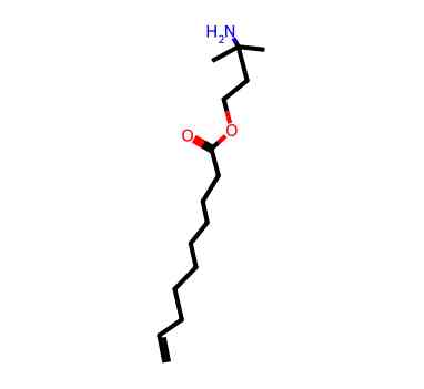 C=CCCCCCCCC(=O)OCCC(C)(C)N